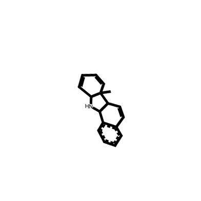 CC12C=CC=CC1NC1c3ccccc3C=CC12